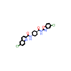 O=C(N[C@H]1CC[C@H](C(=O)Nc2nc3cc(Cl)ccc3o2)CC1)c1ccc2cc(Cl)ccc2n1